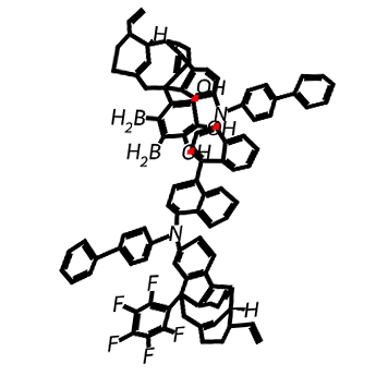 Bc1c(B)c(C23CC4=C[C@@H](C5=CCCC2=C5c2ccc(N(c5ccc(-c6ccccc6)cc5)c5ccc(-c6ccc(N(c7ccc(-c8ccccc8)cc7)c7ccc8c(c7)C7(c9c(F)c(F)c(F)c(F)c9F)CC9=C[C@H](C%10=CCCC7=C%108)C(C=C)CC9)c7ccccc67)c6ccccc56)cc23)C(C=C)CC4)c(O)c(O)c1O